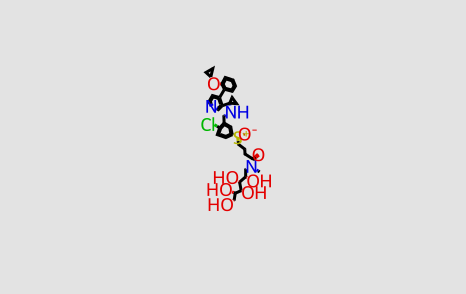 CN(CC(O)C(O)C(O)C(O)CO)C(=O)CCC[S+]([O-])c1ccc(Cl)c(CNC2(c3cnccc3-c3ccccc3OC3CC3)CC2)c1